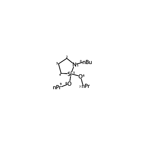 CCCCN1CCC[Si]1(OCCC)OCCC